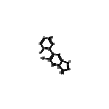 Cc1ccncc1-c1cc2cc[nH]c2cc1F